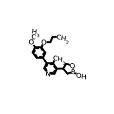 CCCOc1cc(-c2cncc(C3COB(O)C3)c2C)ccc1OC